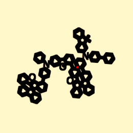 CC1(C)c2ccccc2-c2ccc(N(c3ccc(-c4ccccc4)cc3)c3cccc(-c4ccc5c(c4)C4(c6ccccc6-5)c5ccccc5-c5oc6cc(-c7cccc8c7oc7cc(N(c9ccccc9)c9ccc(-c%10cccc%11c%10-c%10oc%12ccccc%12c%10C%11%10c%11ccccc%11-c%11ccccc%11%10)cc9)ccc78)ccc6c54)c3)cc21